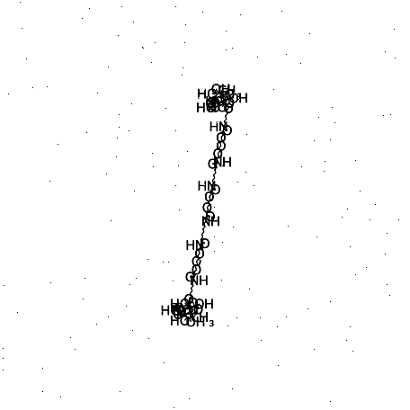 CC1C(OC2C(C(=O)O)OC(OCCCCCCNC(=O)CCOCCOCCOCCNC(=O)CCCCCCCNCC(=O)CCOCCCOCCC(=O)NCCCCCCCC(=O)NCCOCCOCCOCCC(=O)NCCCCCCOC3OC(C(=O)O)C(OC4OC(COS(=O)(=O)O)C(O)C(O)C4C)C(O)C3O)C(O)C2O)OC(COS(=O)(=O)O)C(O)C1O